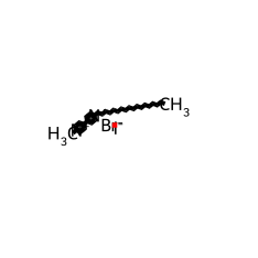 CCCCCCCCCCCCCCCCCC[n+]1ccc(-c2cc[n+](C)cc2)cc1.[Br-].[I-]